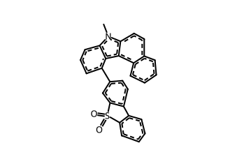 Cn1c2cccc(-c3ccc4c(c3)S(=O)(=O)c3ccccc3-4)c2c2c3ccccc3ccc21